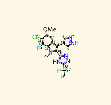 COc1cc2c(-c3cn[nH]c3)c(-c3nnc(C(C)(F)F)[nH]3)n(C)c2c(F)c1Cl